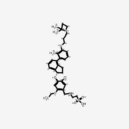 CCOc1cc(O[C@H]2CCc3c(-c4cccc(OCCCN5CCC5(C)C)c4C)cccc32)c(Cl)cc1CNCCS(=O)(=O)O